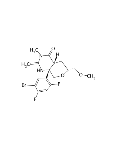 C=C1N[C@@]2(c3cc(Br)c(F)cc3F)CO[C@@H](COC)C[C@H]2C(=O)N1C